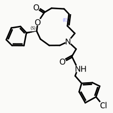 O=C(CN1C/C=C/CCC(=O)O[C@H](c2ccccc2)CCC1)NCc1ccc(Cl)cc1